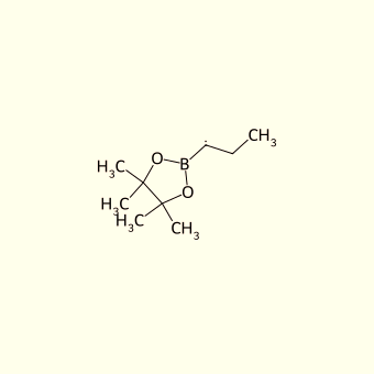 CC[CH]B1OC(C)(C)C(C)(C)O1